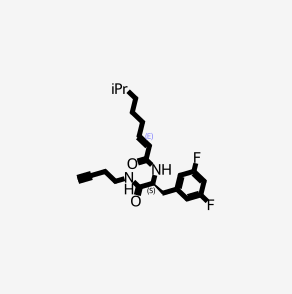 C#CCCNC(=O)[C@H](Cc1cc(F)cc(F)c1)NC(=O)/C=C/CCCC(C)C